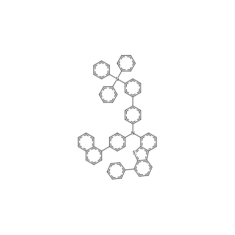 c1ccc(-c2cccc3c2sc2c(N(c4ccc(-c5cccc([Si](c6ccccc6)(c6ccccc6)c6ccccc6)c5)cc4)c4ccc(-c5cccc6ccccc56)cc4)cccc23)cc1